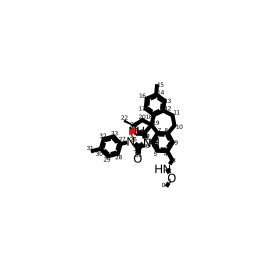 CONCc1ccc2c(c1)CCc1cc(C)ccc1C2(C[C@H](C)N)c1nn(-c2ccc(C)cc2)c(=O)[nH]1